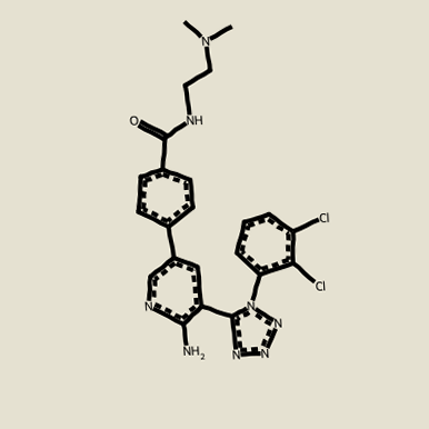 CN(C)CCNC(=O)c1ccc(-c2cnc(N)c(-c3nnnn3-c3cccc(Cl)c3Cl)c2)cc1